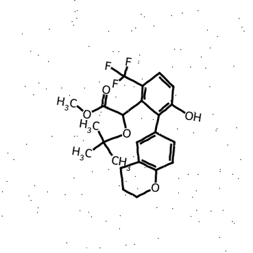 COC(=O)C(OC(C)(C)C)c1c(C(F)(F)F)ccc(O)c1-c1ccc2c(c1)CCCO2